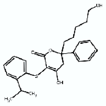 CC(C)c1ccccc1SC1=C(O)CC(CCCCCO)(c2ccccc2)OC1=O